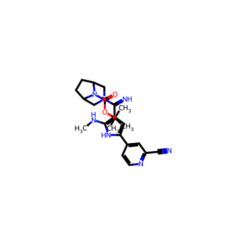 CNc1[nH]c(-c2ccnc(C#N)c2)cc1C(=N)N1CC2CCC(C1)N2C(=O)OC(C)(C)C